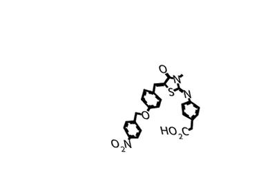 CN1C(=O)C(=Cc2ccc(OCc3ccc([N+](=O)[O-])cc3)cc2)SC1=Nc1ccc(CC(=O)O)cc1